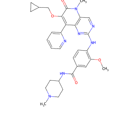 COc1cc(C(=O)NC2CCN(C)CC2)ccc1Nc1ncc2c(n1)c(-c1ccccn1)c(OCC1CC1)c(=O)n2C